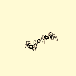 CN(C)c1ccc(NC[C@H]2CC[C@H](NC(=O)c3cc(C(F)(F)F)ccc3Cl)CC2)nc1